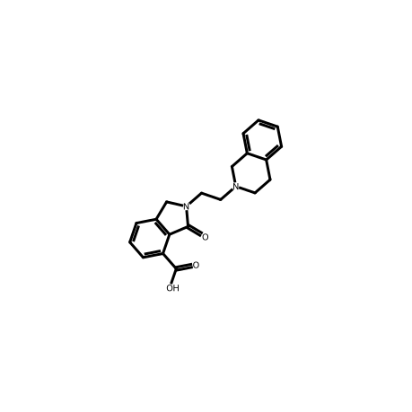 O=C(O)c1cccc2c1C(=O)N(CCN1CCc3ccccc3C1)C2